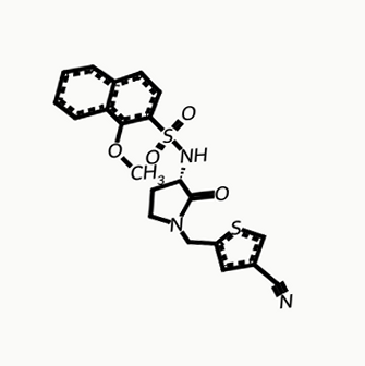 COc1c(S(=O)(=O)N[C@H]2CCN(Cc3cc(C#N)cs3)C2=O)ccc2ccccc12